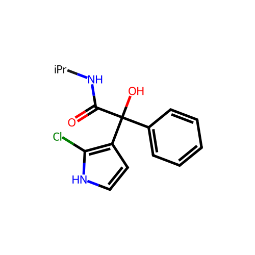 CC(C)NC(=O)C(O)(c1ccccc1)c1cc[nH]c1Cl